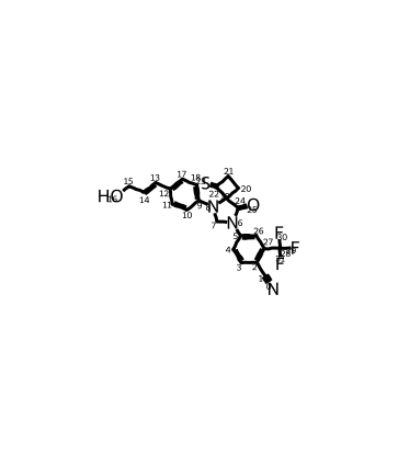 N#Cc1ccc(N2CN(c3ccc(C=CCO)cc3)C3(CCC3=S)C2=O)cc1C(F)(F)F